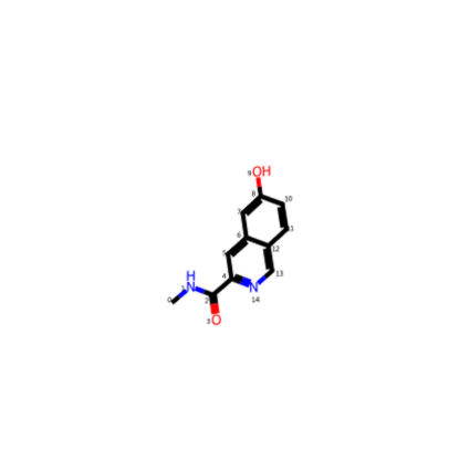 CNC(=O)c1cc2cc(O)ccc2cn1